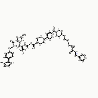 Cc1ncsc1-c1ccc(CNC(=O)[C@@H]2C[C@@H](O)CN2C(=O)[C@@H](NC(=O)CC(=O)N2CCN(c3ccc(C(=O)N4CCC(CCCCNC(=O)/C=C/c5cccnc5)CC4)cc3)CC2)C(C)(C)C)cc1